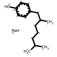 CC(C)CCCC(C)Cc1ccc(O)cc1.[NaH]